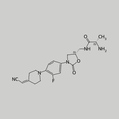 C[C@H](N)C(=O)NC[C@H]1CN(c2ccc(N3CCC(=CC#N)CC3)c(F)c2)C(=O)O1